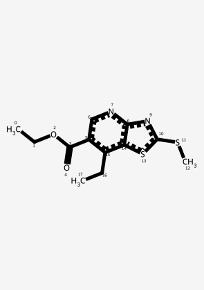 CCOC(=O)c1cnc2nc(SC)sc2c1CC